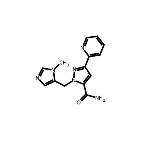 Cn1cncc1Cn1nc(-c2ccccn2)cc1C(N)=O